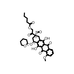 CCCCC(=O)OCC(=O)[C@]1(N=O)Cc2c(O)c3c(c(O)c2[C@@H](O[C@H]2CCCCO2)C1)C(=O)c1c(OC)cccc1C3=O